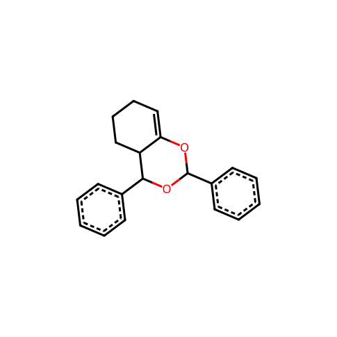 C1=C2OC(c3ccccc3)OC(c3ccccc3)C2CCC1